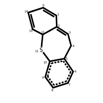 C1=CC2=CCc3ccccc3SC2C=C1